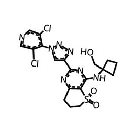 O=S1(=O)CCCc2nc(-c3cn(-c4c(Cl)cncc4Cl)nn3)nc(NC3(CO)CCC3)c21